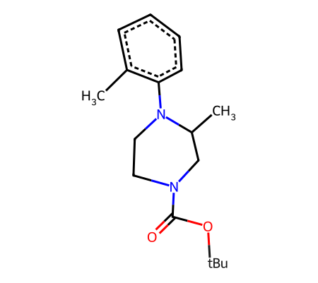 Cc1ccccc1N1CCN(C(=O)OC(C)(C)C)CC1C